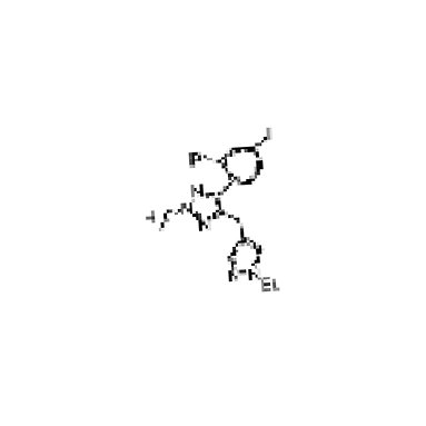 CCn1cc(Cc2nn(C)nc2-c2ccc(F)cc2C(C)C)cn1